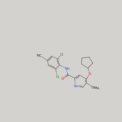 COc1cnc(C(=O)Nc2c(Cl)cc(C#N)cc2Cl)cc1OC1CCCC1